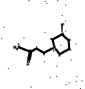 C[C@@H]1CCCN(CCC(N)=O)C1